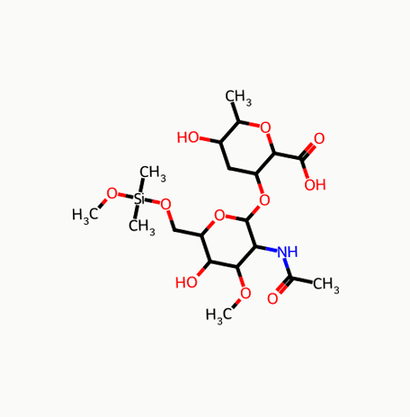 COC1C(O)C(CO[Si](C)(C)OC)OC(OC2CC(O)C(C)OC2C(=O)O)C1NC(C)=O